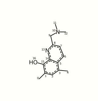 Cc1cc(C)c2ccc(CN(C)C)nc2c1O